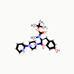 CN(C(=O)OC(C)(C)C)[C@@H](Cc1ccc(O)cc1)C(=O)N1CCN(c2ccccn2)CC1